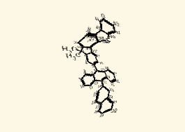 CC1(C)c2cc(-c3c4ccccc4c(-c4ccc5ccccc5c4)c4ccccc34)ccc2-c2c1ccc1c2sc2ccccc21